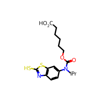 CC(C)N(C(=O)OCCCCCC(=O)O)c1ccc2nc(S)sc2c1